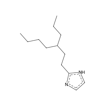 CCCCC(CCC)CCc1ncc[nH]1